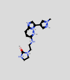 Cn1cc(-c2cnc3ccc(NCCN4CCNC4=O)nn23)cn1